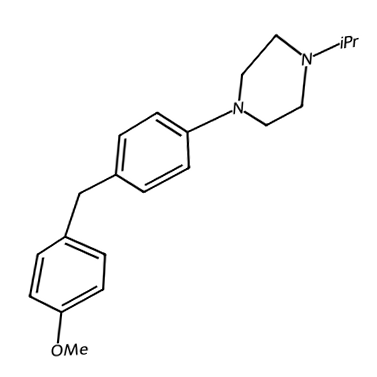 COc1ccc(Cc2ccc(N3CCN(C(C)C)CC3)cc2)cc1